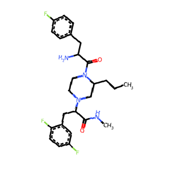 CCCC1CN(C(Cc2cc(F)ccc2F)C(=O)NC)CCN1C(=O)C(N)Cc1ccc(F)cc1